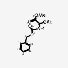 COC(=O)C(NC(=O)OCc1ccccc1)OC(C)=O